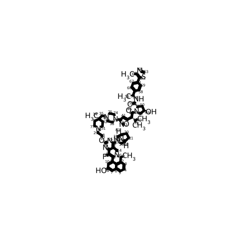 CCc1cccc2cc(O)cc(-c3ncc4c(N5C[C@H]6CC[C@@H](C5)N6)nc(OCCN5CCC(C)(CN6CCN(c7cc([C@H](C(=O)N8C[C@H](O)C[C@H]8C(=O)N[C@@H](C)c8ccc(-c9scnc9C)cc8)C(C)C)on7)CC6)CC5)nc4c3F)c12